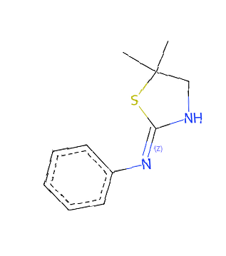 CC1(C)CN/C(=N/c2ccccc2)S1